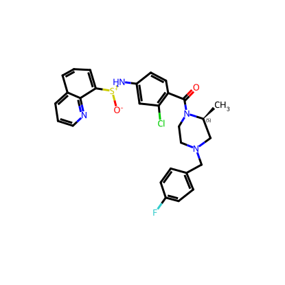 C[C@H]1CN(Cc2ccc(F)cc2)CCN1C(=O)c1ccc(N[S+]([O-])c2cccc3cccnc23)cc1Cl